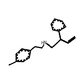 C=CC(CNCCc1ccc(C)cc1)c1ccccc1